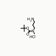 CN(CCCN)C(=O)OC(C)(C)C.Cl